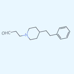 O=CCCN1CCC(CCc2ccccc2)CC1